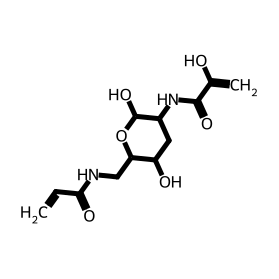 C=CC(=O)NCC1OC(O)C(NC(=O)C(=C)O)CC1O